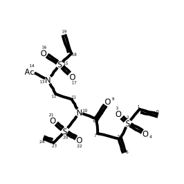 C=CS(=O)(=O)C(=C)CC(=O)N(CCN(C(C)=O)S(=O)(=O)C=C)S(=O)(=O)C=C